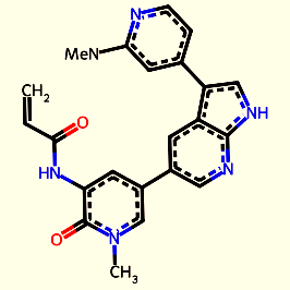 C=CC(=O)Nc1cc(-c2cnc3[nH]cc(-c4ccnc(NC)c4)c3c2)cn(C)c1=O